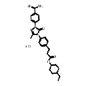 CCC1CCC(OC(=O)CCc2ccc(-n3c(C)nn(-c4ccc(C(=N)N)cc4)c3=O)cc2)CC1.Cl